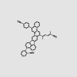 C/C(C#N)=C\C=C(/C)c1cc2c3ccccc3c(-c3ccc(C#N)cc3)cc2c2cc3c(cc12)-c1cccc2c(-c4ccccc4C#N)ccc-3c12